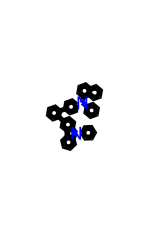 c1ccc(N(c2ccc(-c3ccccc3-c3ccc4c(c3)c3ccccc3n4-c3ccccc3)cc2)c2cccc3ccccc23)cc1